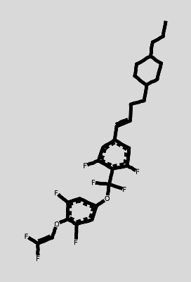 CCCC1CCC(CC/C=C/c2cc(F)c(C(F)(F)Oc3cc(F)c(OC=C(F)F)c(F)c3)c(F)c2)CC1